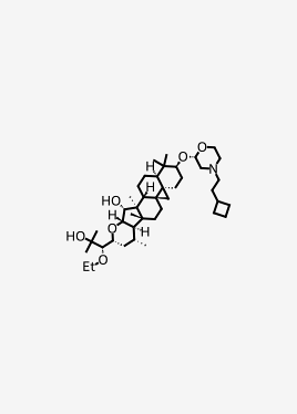 CCO[C@@H]([C@H]1C[C@@H](C)[C@H]2[C@H](O1)[C@H](O)[C@@]1(C)[C@@H]3CC[C@H]4C(C)(C)[C@@H](O[C@H]5CN(CCC6CCC6)CCO5)CC[C@@]45C[C@@]35CC[C@]21C)C(C)(C)O